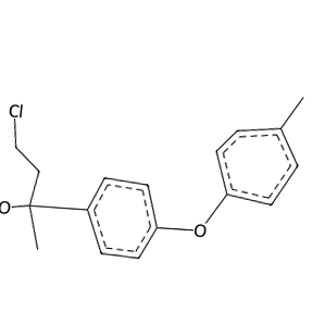 Cc1ccc(Oc2ccc(C(C)(O)CCCl)cc2)cc1